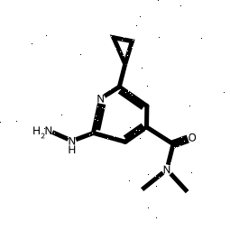 CN(C)C(=O)c1cc(NN)nc(C2CC2)c1